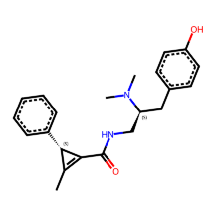 CC1=C(C(=O)NC[C@H](Cc2ccc(O)cc2)N(C)C)[C@H]1c1ccccc1